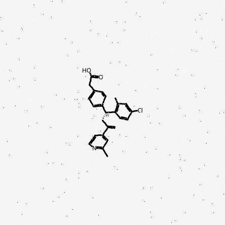 C=C(C[C@H](c1ccc(CC(=O)O)cc1)c1ccc(Cl)cc1C)c1ccnc(C)c1